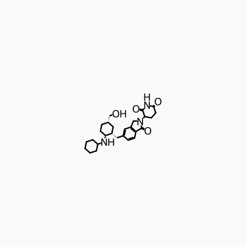 O=C1CCC(N2Cc3cc(C[C@H]4C[C@@H](CO)CC[C@@H]4NC4CCCCC4)ccc3C2=O)C(=O)N1